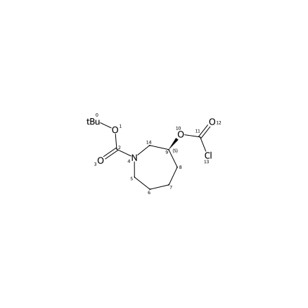 CC(C)(C)OC(=O)N1CCCC[C@H](OC(=O)Cl)C1